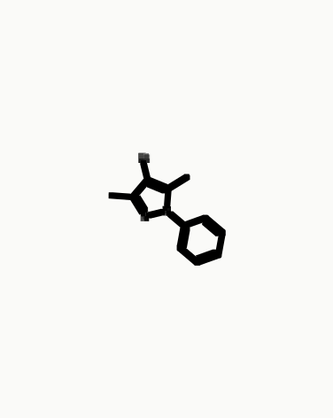 [CH2-][CH+]c1c(C)nn(-c2ccccc2)c1C